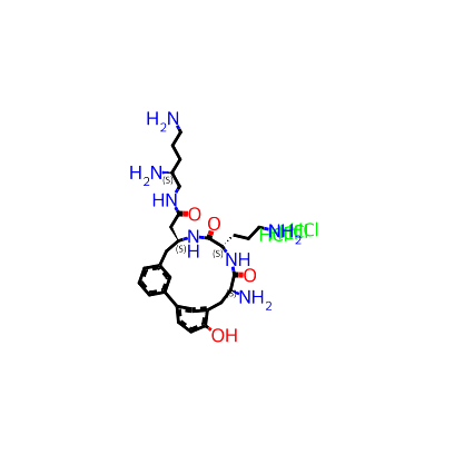 Cl.Cl.Cl.Cl.NCCC[C@H](N)CNC(=O)C[C@@H]1Cc2cccc(c2)-c2ccc(O)c(c2)C[C@H](N)C(=O)N[C@@H](CCCN)C(=O)N1